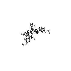 Cc1ccc2c(n1)CCN2C(=O)CC[C@@H](C)[C@H]1CC[C@H]2[C@@H]3[C@H](O)C[C@@H]4C[C@H](O)CC[C@]4(C)[C@H]3C[C@H](O)[C@]12C